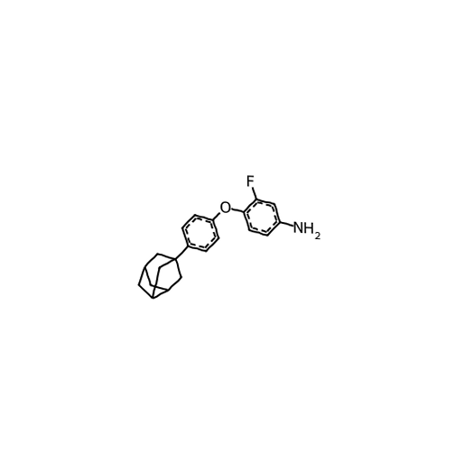 Nc1ccc(Oc2ccc(C34CC5CC(C3)C(C5)C4)cc2)c(F)c1